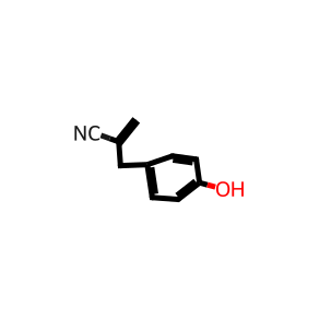 C=C(C#N)Cc1ccc(O)cc1